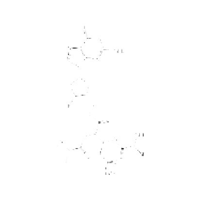 COC(=O)CC(OC(=O)[C@@H](N)C(C)C)C(OC(=O)[C@@H](N)C(C)C)C(=O)OC[C@H]1O[C@@H](n2cnc3c(=O)[nH]c(N)nc32)C[C@@H]1F